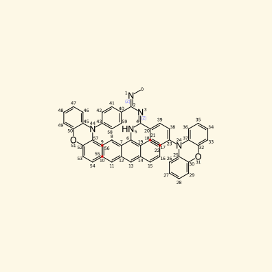 C/N=C(\N=C(/Nc1c2ccccc2cc2ccccc12)c1ccc(N2c3ccccc3Oc3ccccc32)cc1)c1ccc(N2c3ccccc3Oc3ccccc32)cc1